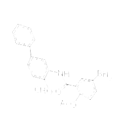 Bc1ccc(OC(C)=O)c(C(=O)Nc2cc(-c3ccccc3)ccc2C=O)c1